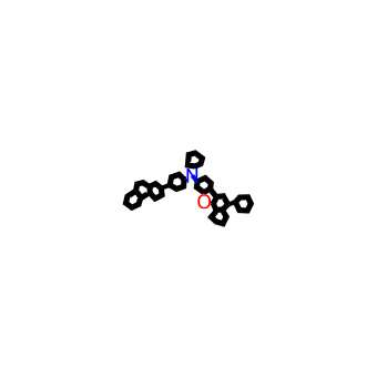 c1ccc(-c2cc3c4ccc(N(c5ccccc5)c5ccc(-c6ccc7c(ccc8ccccc87)c6)cc5)cc4oc3c3ccccc23)cc1